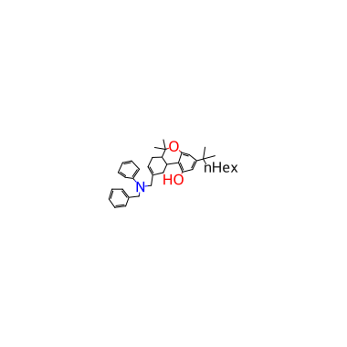 CCCCCCC(C)(C)c1cc(O)c2c(c1)OC(C)(C)C1CC=C(CN(Cc3ccccc3)c3ccccc3)CC21